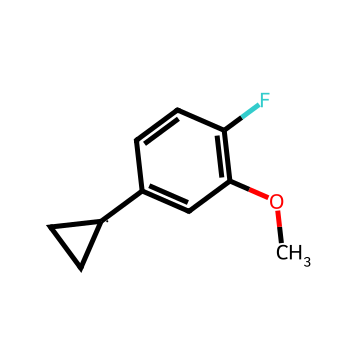 COc1cc([C]2CC2)ccc1F